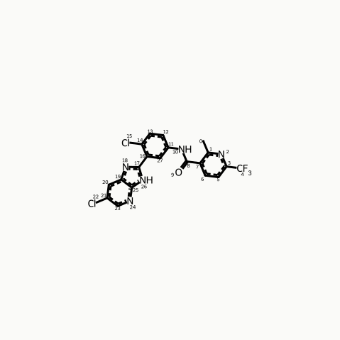 Cc1nc(C(F)(F)F)ccc1C(=O)Nc1ccc(Cl)c(-c2nc3cc(Cl)cnc3[nH]2)c1